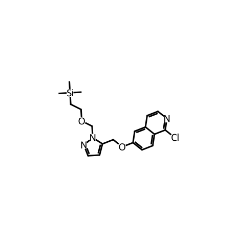 C[Si](C)(C)CCOCn1nccc1COc1ccc2c(Cl)nccc2c1